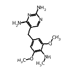 CNc1c(OC)cc(Cc2cnc(N)nc2N)cc1OC